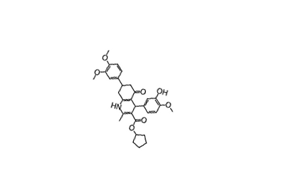 COc1ccc(C2C(C(=O)OC3CCCC3)=C(C)NC3=C2C(=O)CC(c2ccc(OC)c(OC)c2)C3)cc1O